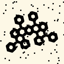 c1ccc(N2c3ccncc3B3c4cc5c(nc4N(c4ccccc4)c4nccc2c43)N(c2ccccc2)c2cccc3c2B5c2cccnc2N3c2ccccc2)cc1